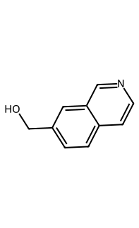 OCc1ccc2ccncc2c1